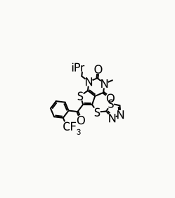 CC(C)Cn1c(=O)n(C)c(=O)c2c(Sc3nncs3)c(C(=O)c3ccccc3C(F)(F)F)sc21